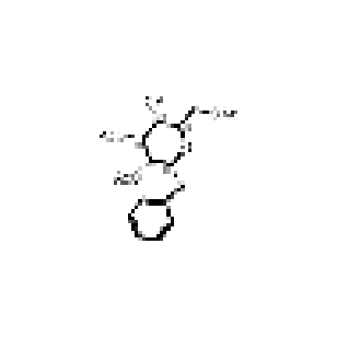 CC(=O)OC[C@H]1O[C@H](Sc2ccccc2)[C@H](OC(C)=O)[C@@H](OC(C)=O)[C@@H]1OC(C)=O